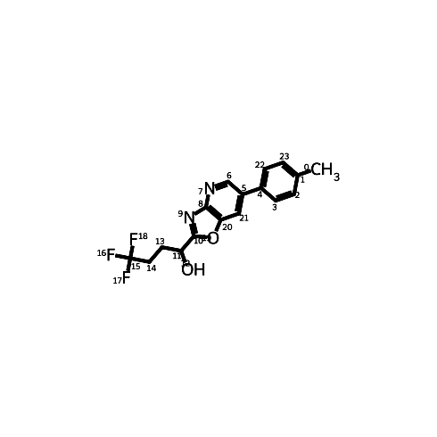 Cc1ccc(-c2cnc3nc(C(O)CCC(F)(F)F)oc3c2)cc1